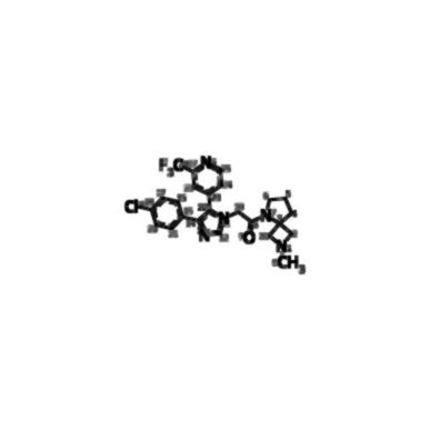 CN1CC2(CCCN2C(=O)Cn2cnc(-c3ccc(Cl)cc3)c2-c2ccnc(C(F)(F)F)c2)C1